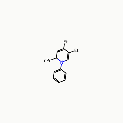 CCCC1C=C(CC)C(CC)=CN1c1ccccc1